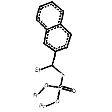 CCC(SP(=O)(OC(C)C)OC(C)C)c1ccc2ccccc2c1